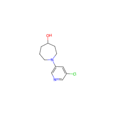 OC1CCCN(c2cncc(Cl)c2)CC1